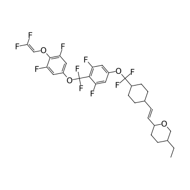 CCC1CCC(/C=C/C2CCC(C(F)(F)Oc3cc(F)c(C(F)(F)Oc4cc(F)c(OC=C(F)F)c(F)c4)c(F)c3)CC2)OC1